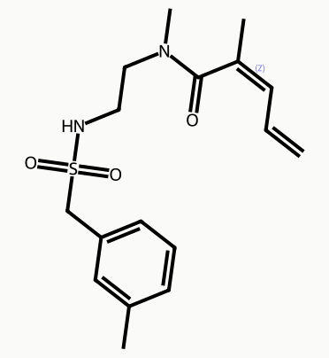 C=C/C=C(/C)C(=O)N(C)CCNS(=O)(=O)Cc1cccc(C)c1